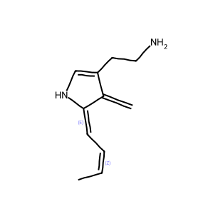 C=c1c(CCN)c[nH]/c1=C/C=C\C